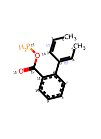 C/C=C\C(=C/C)c1ccccc1C(=O)OP